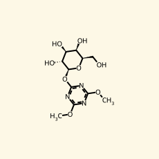 COc1nc(OC)nc(O[C@@H]2O[C@H](CO)[C@H](O)[C@H](O)[C@H]2O)n1